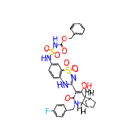 O=C(NS(=O)(=O)Nc1ccc2c(c1)S(=O)(=O)N=C(C1=C(O)[C@@H]3[C@H]4CC[C@H](C4)[C@@H]3N(Cc3ccc(F)cc3)C1=O)N2)OCc1ccccc1